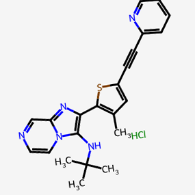 Cc1cc(C#Cc2ccccn2)sc1-c1nc2cnccn2c1NC(C)(C)C.Cl